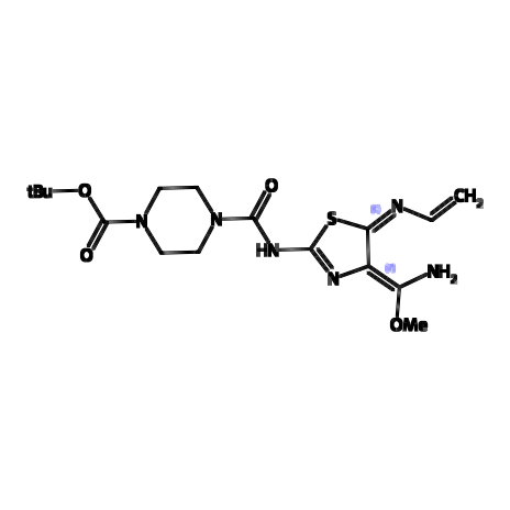 C=C/N=C1/SC(NC(=O)N2CCN(C(=O)OC(C)(C)C)CC2)=N/C1=C(/N)OC